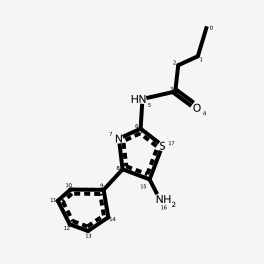 CCCC(=O)Nc1nc(-c2ccccc2)c(N)s1